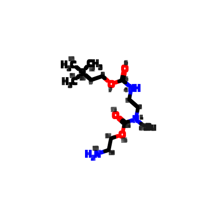 CC(C)(C)N(CCNC(=O)OCC[Si](C)(C)C)C(=O)OCCN